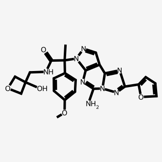 COc1ccc(C(C)(C(=O)NCC2(O)COC2)n2ncc3c2nc(N)n2nc(-c4ccco4)nc32)cc1